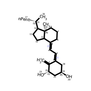 C=C1/C(=C\C=C2/CCC[C@@]3(C)C2CCC3[C@@H](C)CCCCC)C[C@@H](O)C[C@@H]1O